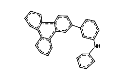 c1ccc(Nc2cccc(-c3ccc4c5ccccc5c5ccccc5c4c3)c2)cc1